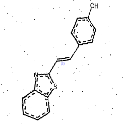 Oc1ccc(/C=C/c2nc3ccccc3s2)cc1